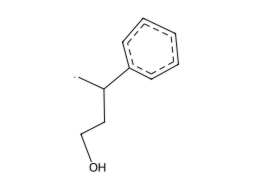 [CH2]C(CCO)c1ccccc1